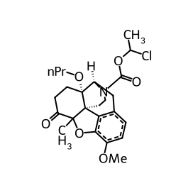 CCCO[C@@]12CCC(=O)C3(C)Oc4c(OC)ccc5c4[C@@]31CCN(C(=O)OC(C)Cl)[C@@H]2C5